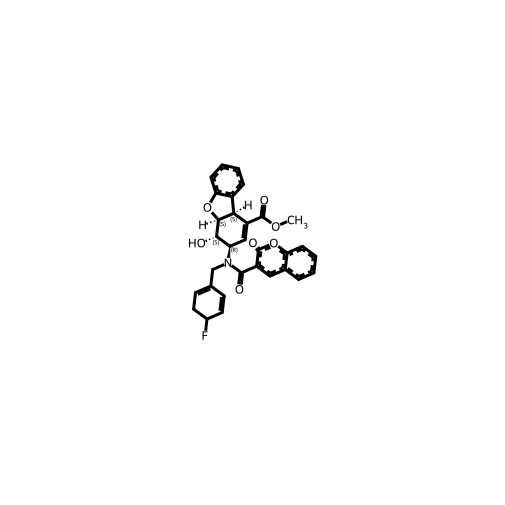 COC(=O)C1=C[C@@H](N(CC2=CCC(F)C=C2)C(=O)c2cc3ccccc3oc2=O)[C@H](O)[C@H]2Oc3ccccc3[C@@H]12